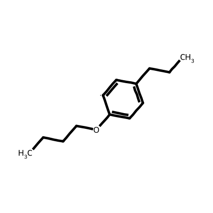 CCCCOc1[c]cc(CCC)cc1